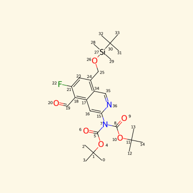 CC(C)(C)OC(=O)N(C(=O)OC(C)(C)C)c1cc2c(C=O)c(F)cc(CO[Si](C)(C)C(C)(C)C)c2cn1